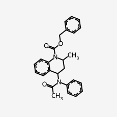 CC(=O)N(c1ccccc1)C1CC(C)N(C(=O)OCc2ccccc2)c2ccccc21